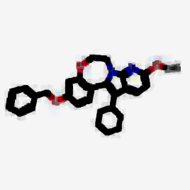 O=COc1ccc2c(C3CCCCC3)c3n(c2n1)CCOc1cc(OCc2ccccc2)ccc1-3